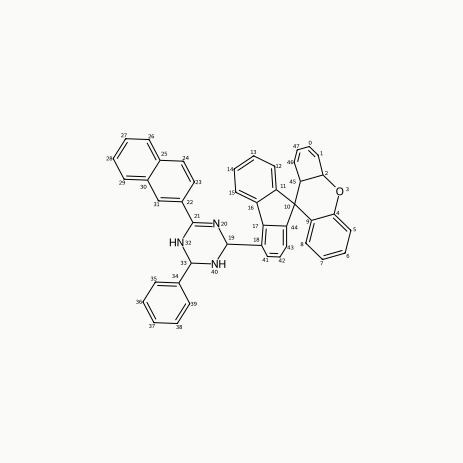 C1=CC2Oc3ccccc3C3(c4ccccc4-c4c(C5N=C(c6ccc7ccccc7c6)NC(c6ccccc6)N5)cccc43)C2C=C1